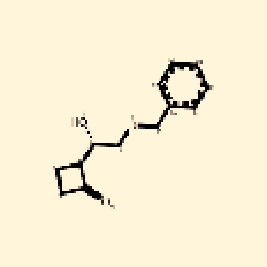 O=C1CCC1[C@H](O)COCc1ccccc1